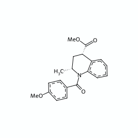 COC(=O)[C@H]1C[C@@H](C)N(C(=O)c2ccc(OC)cc2)c2ccccc21